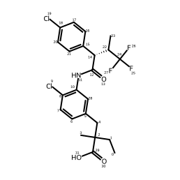 CCC(C)(Cc1ccc(Cl)c(NC(=O)[C@H](c2ccc(Cl)cc2)C(C)C(F)(F)F)c1)C(=O)O